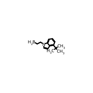 BCCn1ccc2c(C(C)(C)C)cccc21